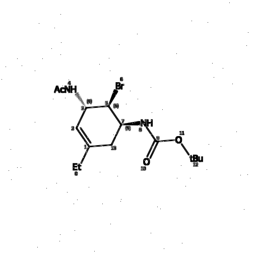 CCC1=C[C@H](NC(C)=O)[C@@H](Br)[C@@H](NC(=O)OC(C)(C)C)C1